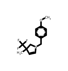 COc1ccc(CN2C=CC(C)(C(F)(F)F)C2)cc1